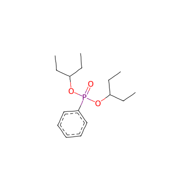 CCC(CC)OP(=O)(OC(CC)CC)c1ccccc1